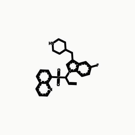 C=CC(n1cc(CC2CCNCC2)c2cc(F)ccc21)S(=O)(=O)c1cccc2cccnc12